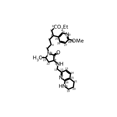 CCOC(=O)CC(CCCN1C(=O)C(NCc2ccc3c(n2)NCCC3)CC1C)c1ccc(OC)nc1